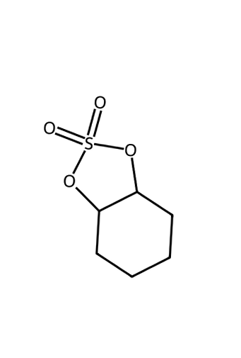 O=S1(=O)OC2CCCCC2O1